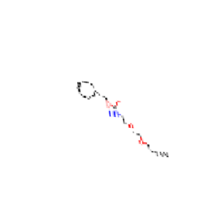 CNCCOCCOCCNC(=O)OCC1C2CCC#CCCC21